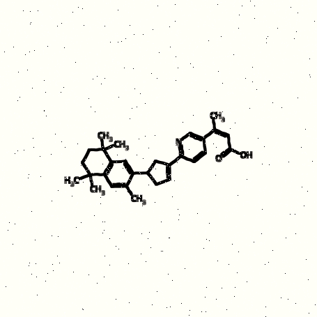 C/C(=C/C(=O)O)c1ccc(C2=CCC(c3cc4c(cc3C)C(C)(C)CCC4(C)C)C2)nc1